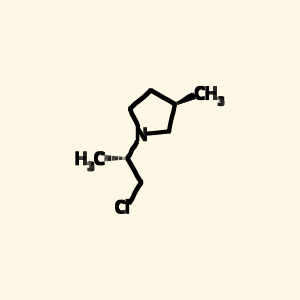 C[C@@H]1CCN([C@@H](C)CCl)C1